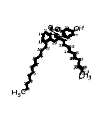 CCCCCCCCCCCCc1cccc(S(=O)(=O)Oc2cccc(O)c2)c1CCCCCCCCCCCC